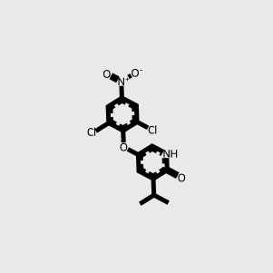 CC(C)c1cc(Oc2c(Cl)cc([N+](=O)[O-])cc2Cl)c[nH]c1=O